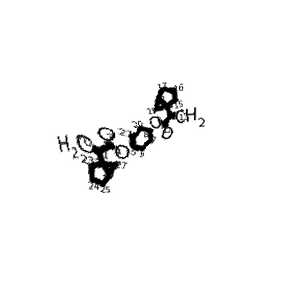 C=C(C(=O)OC1CCC(OC(=O)C(=C)C23CCCC2C3)CC1)C12CCCC1C2